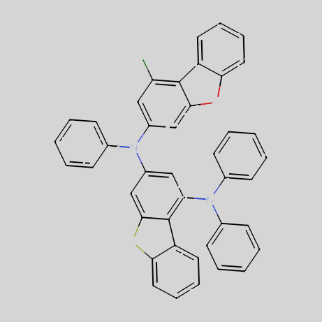 Clc1cc(N(c2ccccc2)c2cc(N(c3ccccc3)c3ccccc3)c3c(c2)sc2ccccc23)cc2oc3ccccc3c12